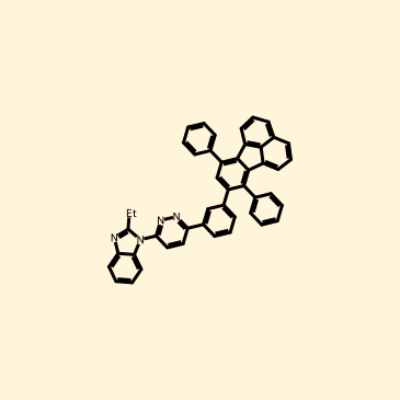 CCc1nc2ccccc2n1-c1ccc(-c2cccc(-c3cc(-c4ccccc4)c4c(c3-c3ccccc3)-c3cccc5cccc-4c35)c2)nn1